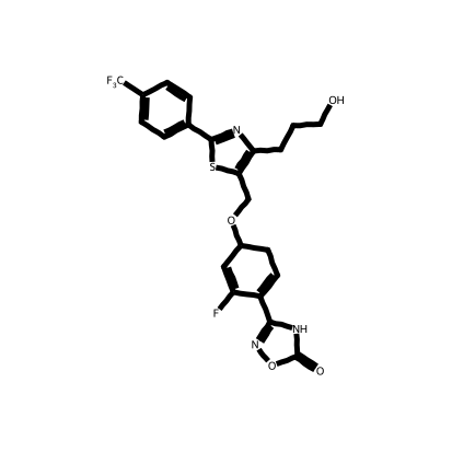 O=c1[nH]c(C2=CCC(OCc3sc(-c4ccc(C(F)(F)F)cc4)nc3CCCO)C=C2F)no1